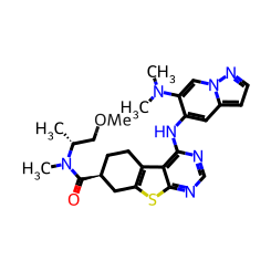 COC[C@@H](C)N(C)C(=O)[C@H]1CCc2c(sc3ncnc(Nc4cc5ccnn5cc4N(C)C)c23)C1